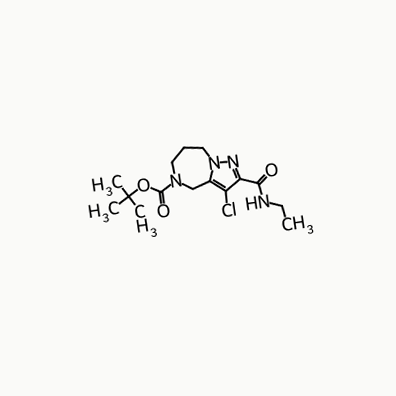 CCNC(=O)c1nn2c(c1Cl)CN(C(=O)OC(C)(C)C)CCC2